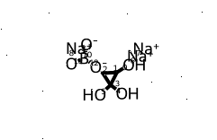 OC1CC1(O)O.[Na+].[Na+].[Na+].[O-]B([O-])[O-]